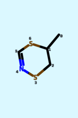 CC1CSN=CS1